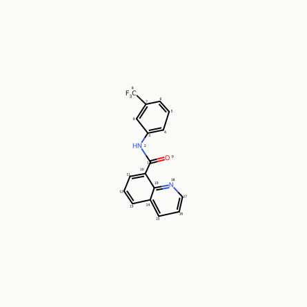 O=C(Nc1cccc(C(F)(F)F)c1)c1cccc2cccnc12